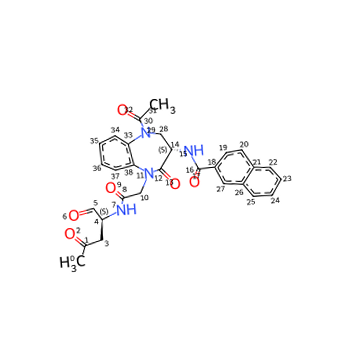 CC(=O)C[C@@H](C=O)NC(=O)CN1C(=O)[C@@H](NC(=O)c2ccc3ccccc3c2)CN(C(C)=O)c2ccccc21